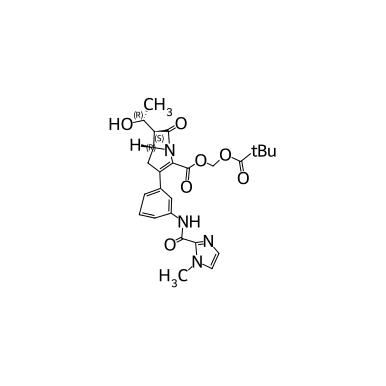 C[C@@H](O)[C@H]1C(=O)N2C(C(=O)OCOC(=O)C(C)(C)C)=C(c3cccc(NC(=O)c4nccn4C)c3)C[C@H]12